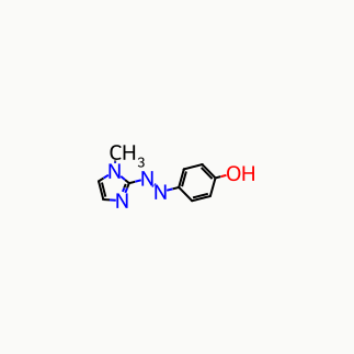 Cn1ccnc1/N=N/c1ccc(O)cc1